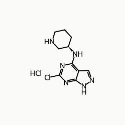 Cl.Clc1nc(N[C@@H]2CCCNC2)c2cn[nH]c2n1